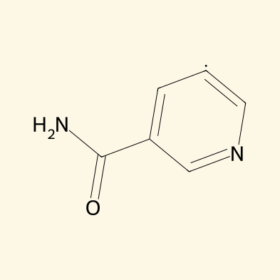 NC(=O)c1c[c]cnc1